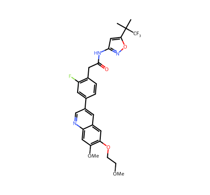 COCCOc1cc2cc(-c3ccc(CC(=O)Nc4cc(C(C)(C)C(F)(F)F)on4)c(F)c3)cnc2cc1OC